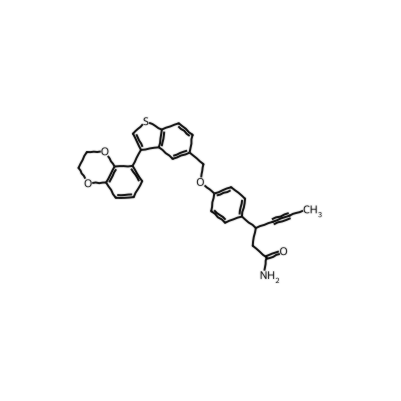 CC#CC(CC(N)=O)c1ccc(OCc2ccc3scc(-c4cccc5c4OCCO5)c3c2)cc1